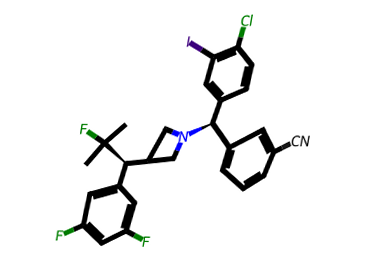 CC(C)(F)[C@H](c1cc(F)cc(F)c1)C1CN([C@H](c2cccc(C#N)c2)c2ccc(Cl)c(I)c2)C1